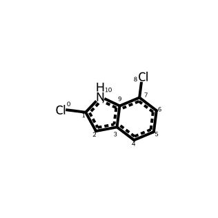 Clc1cc2cccc(Cl)c2[nH]1